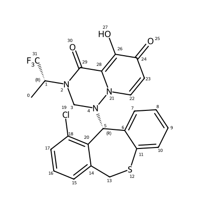 C[C@@H](N1CN([C@@H]2c3ccccc3SCc3cccc(Cl)c32)n2ccc(=O)c(O)c2C1=O)C(F)(F)F